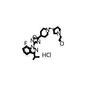 CC(C)c1nn(-c2noc(C3CCN(C[C@@H]4CCN(CC=O)C4)CC3)n2)c2c(F)cccc12.Cl